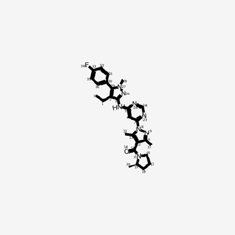 CCc1c(Nc2cc(-n3nc(C)c(C(=O)N4CCC[C@H]4C)c3C)ncn2)nn(C)c1-c1ccc(F)cc1